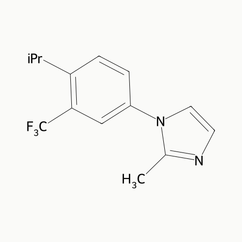 Cc1nccn1-c1ccc(C(C)C)c(C(F)(F)F)c1